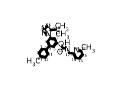 Cc1ccc(-c2cc(OC(=O)NCc3cccc(C)n3)cc(-n3nnnc3C(C)C)c2)cc1